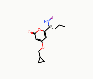 CCC[C@@H](NI)c1cc(OCC2CC2)cc(=O)o1